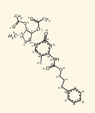 CC(=O)OC1C(OC(C)=O)[C@@H](C)O[C@H]1n1cc(I)c(NC(=O)OCCSc2ccccc2)nc1=O